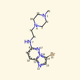 CN1CCN(CCNc2ccc3ncc(Br)n3n2)CC1